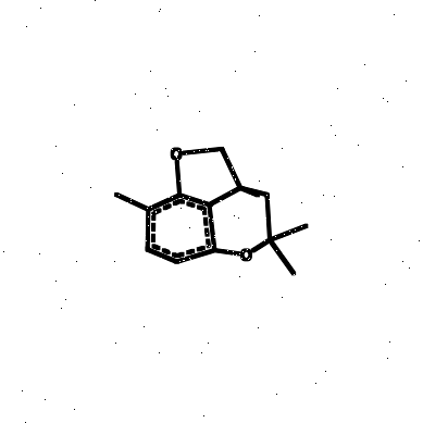 Cc1ccc2c3c1OCC3(C)CC(C)(C)O2